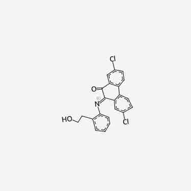 O=C1/C(=N/c2ccccc2CCO)c2cc(Cl)ccc2-c2ccc(Cl)cc21